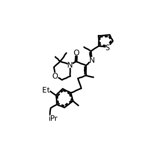 CCc1cc(CC/C(C)=C(/N=C(\C)c2cccs2)C(=O)N2CCOCC2(C)C)c(C)cc1CC(C)C